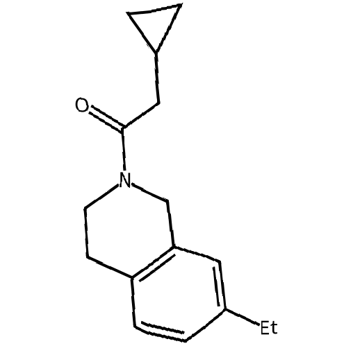 CCc1ccc2c(c1)CN(C(=O)CC1CC1)CC2